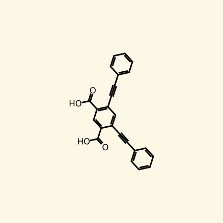 O=C(O)c1cc(C(=O)O)c(C#Cc2ccccc2)cc1C#Cc1ccccc1